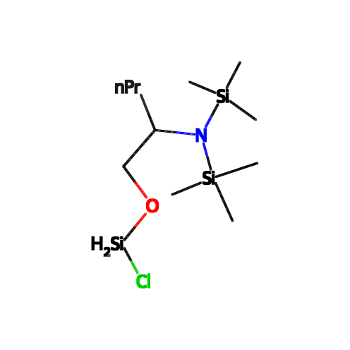 CCCC(CO[SiH2]Cl)N([Si](C)(C)C)[Si](C)(C)C